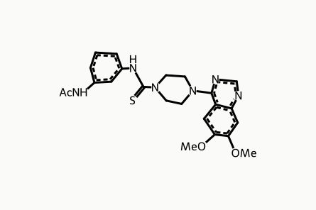 COc1cc2ncnc(N3CCN(C(=S)Nc4cccc(NC(C)=O)c4)CC3)c2cc1OC